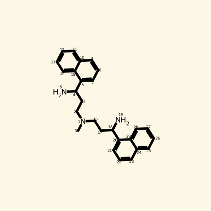 CN(CCC(N)c1cccc2ccccc12)CCC(N)c1cccc2ccccc12